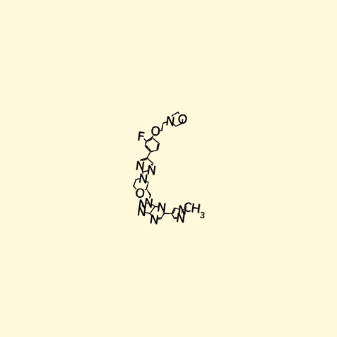 Cn1cc(C2=NC3C(N=C2)N=NN3C[C@@H]2CN(c3ncc(-c4ccc(OCCN5CCOCC5)c(F)c4)cn3)CCO2)cn1